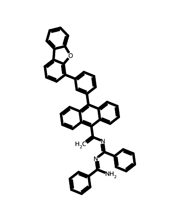 C=C(/N=C(\N=C(/N)c1ccccc1)c1ccccc1)c1c2ccccc2c(-c2cccc(-c3cccc4c3oc3ccccc34)c2)c2ccccc12